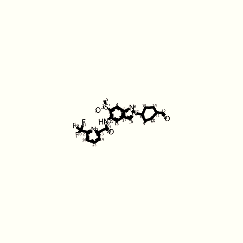 C[S+]([O-])c1cc2nn(C3CCC(C=O)CC3)cc2cc1NC(=O)c1cccc(C(F)(F)F)n1